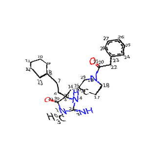 CN1C(=N)N[C@@](CCC2CCCCC2)(C[C@H]2CCCN(C(=O)Cc3ccccc3)C2)C1=O